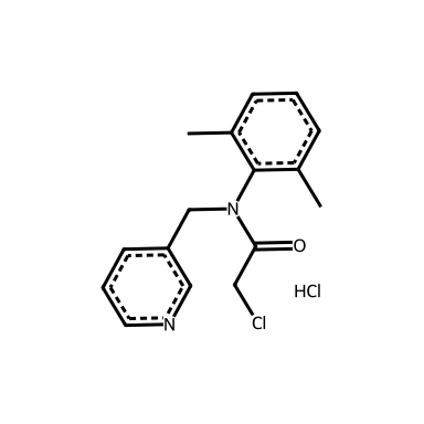 Cc1cccc(C)c1N(Cc1cccnc1)C(=O)CCl.Cl